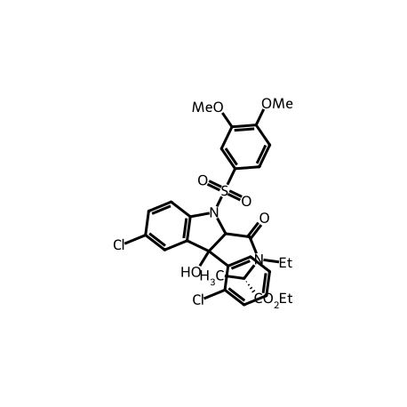 CCOC(=O)[C@H](C)N(CC)C(=O)C1N(S(=O)(=O)c2ccc(OC)c(OC)c2)c2ccc(Cl)cc2C1(O)c1ccccc1Cl